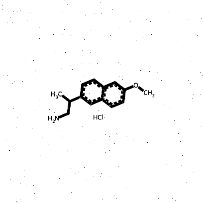 COc1ccc2cc(C(C)CN)ccc2c1.Cl